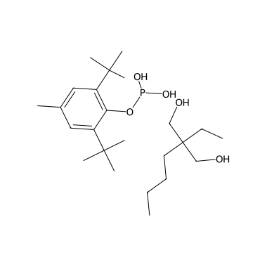 CCCCC(CC)(CO)CO.Cc1cc(C(C)(C)C)c(OP(O)O)c(C(C)(C)C)c1